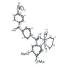 COc1cc2c(cc1OC)[C@H]1CCCC[C@H]1N=C2c1ccc(C(=O)c2ccc([N+](=O)[O-])cc2)cc1